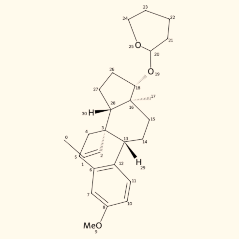 C/C=C\[C@@]12CCc3cc(OC)ccc3[C@H]1CC[C@]1(C)[C@@H](OC3CCCCO3)CC[C@H]12